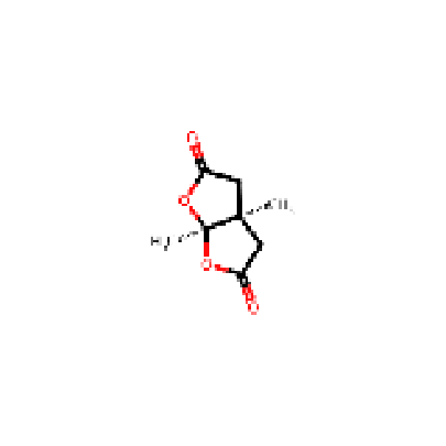 C[C@]12CC(=O)O[C@@]1(C)OC(=O)C2